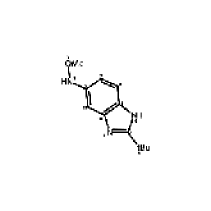 CONc1ccc2[nH]c(C(C)(C)C)nc2c1